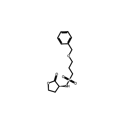 O=C1OCC[C@@H]1NS(=O)(=O)CCCOCc1ccccc1